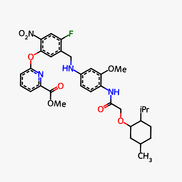 COC(=O)c1cccc(Oc2cc(CNc3ccc(NC(=O)COC4CC(C)CCC4C(C)C)c(OC)c3)c(F)cc2[N+](=O)[O-])n1